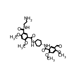 COc1cc(OC)c(C(=O)N[C@H]2CC[C@@H](NC(=O)c3cc(C(=O)NCCN)c(OC)cc3OC)CC2)cc1C=O